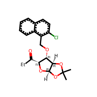 CCC(=O)[C@H]1O[C@@H]2OC(C)(C)O[C@@H]2[C@H]1OCc1c(Cl)ccc2ccccc12